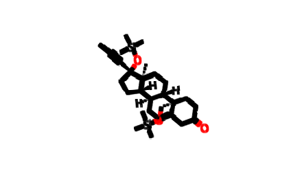 CC#C[C@]1(O[Si](C)(C)C)CC[C@H]2[C@@H]3CC=C4CC(=O)CC[C@]4(CO[Si](C)(C)C)[C@H]3CC[C@@]21C